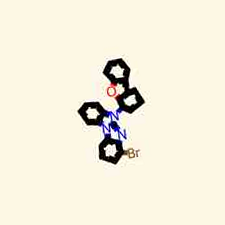 Brc1cccc2c1nc1n(-c3cccc4c3oc3ccccc34)c3ccccc3n21